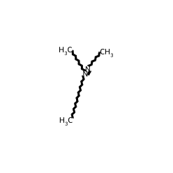 CCCCCCCCCCCCCCCCC[n+]1ccn(CCCCCCCC)c1CCCCCCCCC